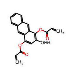 C=CC(=O)Oc1cc(OC)c(OC(=O)C=C)c2cc3ccccc3cc12